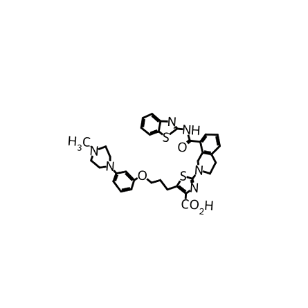 CN1CCN(c2cccc(OCCCc3sc(N4CCc5cccc(C(=O)Nc6nc7ccccc7s6)c5C4)nc3C(=O)O)c2)CC1